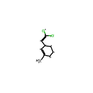 CC1=CC(C=C(Cl)Cl)CCC1